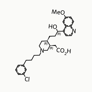 COc1ccc2nccc([C@H](O)CC[C@@H]3CCN(CCCCc4cccc(Cl)c4)C[C@@H]3CC(=O)O)c2c1